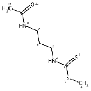 CSC(=S)NCCCNC(C)=O